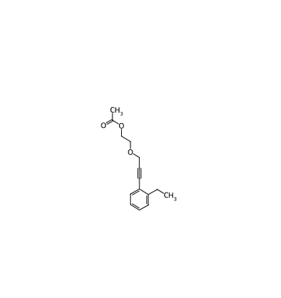 CCc1ccccc1C#CCOCCOC(C)=O